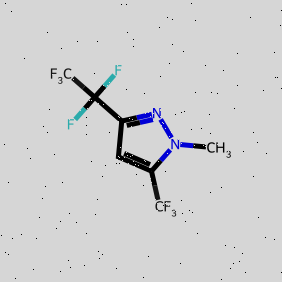 Cn1nc(C(F)(F)C(F)(F)F)cc1C(F)(F)F